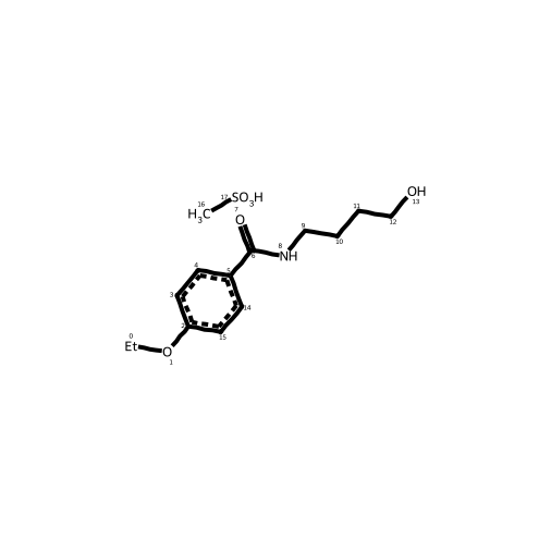 CCOc1ccc(C(=O)NCCCCO)cc1.CS(=O)(=O)O